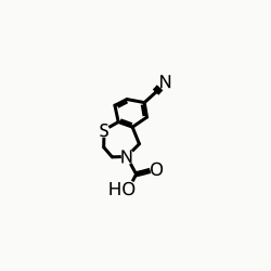 N#Cc1ccc2c(c1)CN(C(=O)O)CCS2